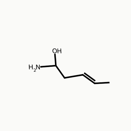 C/C=C/CC(N)O